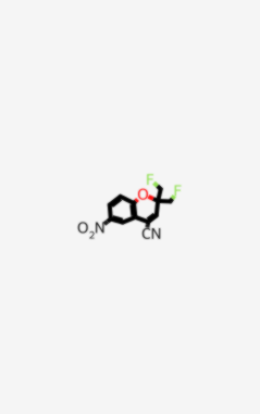 N#CC1=CC(CF)(CF)Oc2ccc([N+](=O)[O-])cc21